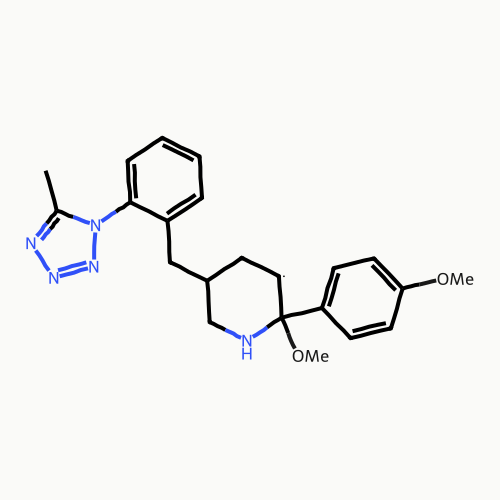 COc1ccc(C2(OC)[CH]CC(Cc3ccccc3-n3nnnc3C)CN2)cc1